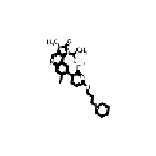 CC(C)n1c(=O)n(C)c2cnc3cc(F)c(-c4ccc(OCCCN5CCCCC5)nc4F)cc3c21